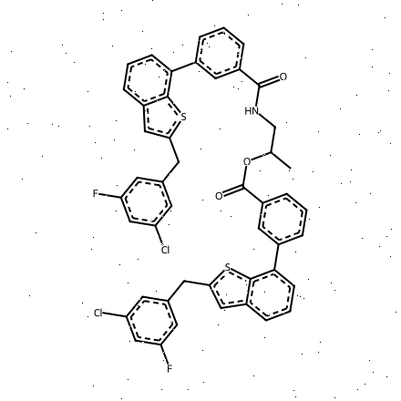 CC(CNC(=O)c1cccc(-c2cccc3cc(Cc4cc(F)cc(Cl)c4)sc23)c1)OC(=O)c1cccc(-c2cccc3cc(Cc4cc(F)cc(Cl)c4)sc23)c1